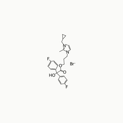 Cc1n(CCCOC(=O)C(O)(c2ccc(F)cc2)c2ccc(F)cc2)cc[n+]1CC1CC1.[Br-]